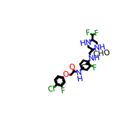 O=CC1(CNC23CCC(NC(=O)COc4ccc(Cl)c(F)c4)(CC2)CC3F)CNC(C(F)F)CN1